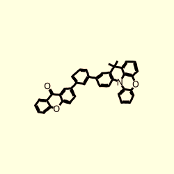 CC1(C)c2cc(-c3cccc(-c4ccc5oc6ccccc6c(=O)c5c4)c3)ccc2N2c3ccccc3Oc3cccc1c32